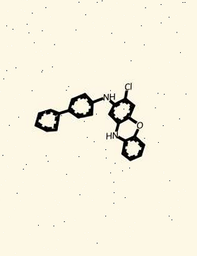 Clc1cc2c(cc1Nc1ccc(-c3ccccc3)cc1)Nc1ccccc1O2